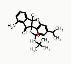 CC(C)c1ccc2c(c1)OC1(O)c3cccc(N)c3C(=O)C21NC(=O)NC(C)(C)C